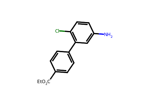 CCOC(=O)c1ccc(-c2cc(N)ccc2Cl)cc1